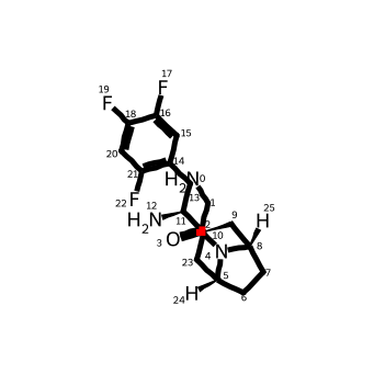 NCC(=O)N1[C@@H]2CC[C@H]1C[C@H]([C@@H](N)Cc1cc(F)c(F)cc1F)C2